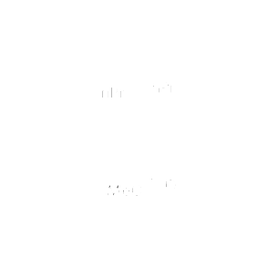 CCCC(CCC)C1CCC(C(=O)OC)CC1